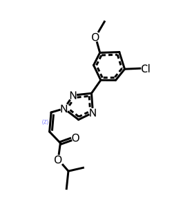 COc1cc(Cl)cc(-c2ncn(/C=C\C(=O)OC(C)C)n2)c1